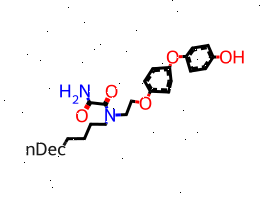 CCCCCCCCCCCCCCN(CCOc1ccc(Oc2ccc(O)cc2)cc1)C(=O)C(N)=O